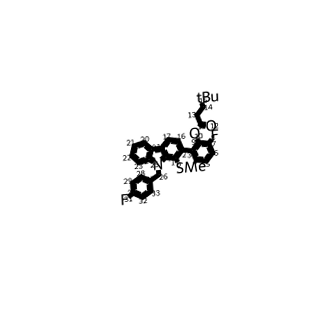 CSc1c(-c2cccc(F)c2OC(=O)CCC(C)(C)C)ccc2c3ccccc3n(Cc3ccc(F)cc3)c12